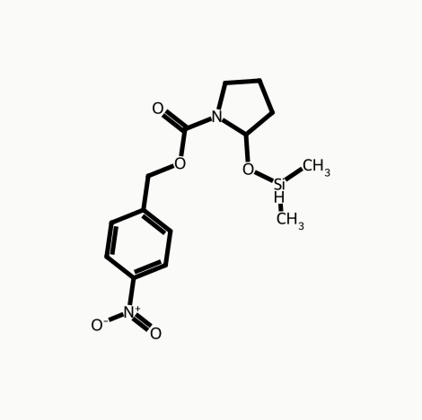 C[SiH](C)OC1CCCN1C(=O)OCc1ccc([N+](=O)[O-])cc1